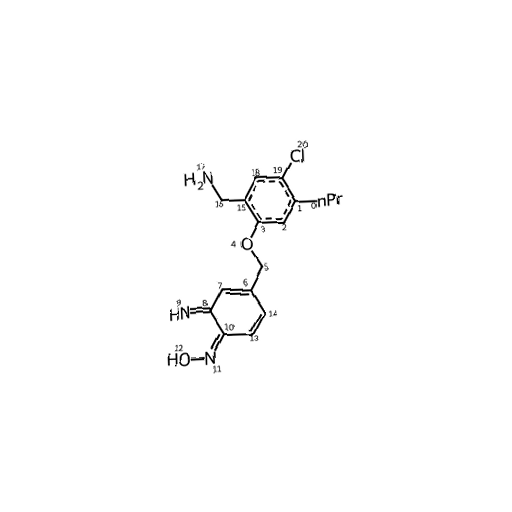 CCCc1cc(OCC2=CC(=N)/C(=N\O)C=C2)c(CN)cc1Cl